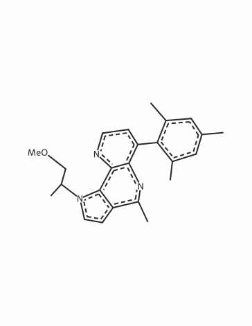 COCC(C)n1ccc2c(C)nc3c(-c4c(C)cc(C)cc4C)ccnc3c21